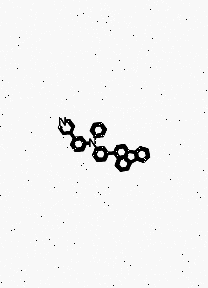 C1=CC(c2cccc(N(c3ccccc3)c3cccc(-c4ccc5c6c(cccc46)-c4ccccc4-5)c3)c2)CC=N1